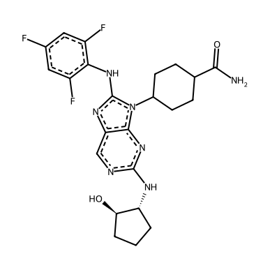 NC(=O)C1CCC(n2c(Nc3c(F)cc(F)cc3F)nc3cnc(N[C@@H]4CCC[C@H]4O)nc32)CC1